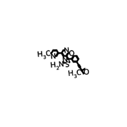 Cc1ccc(-c2cnc3c(c2)[C@]2(CSC(N)=N2)c2cc(C#CC4(C)COC4)ccc2O3)cn1